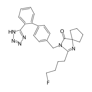 O=C1N(Cc2ccc(-c3ccccc3-c3nnn[nH]3)cc2)C(CCCCF)=NC12CCCC2